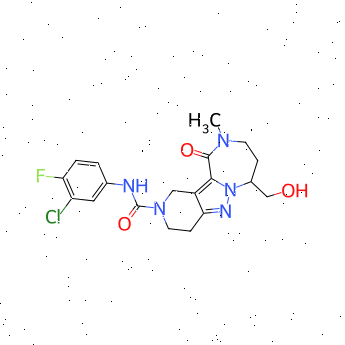 CN1CCC(CO)n2nc3c(c2C1=O)CN(C(=O)Nc1ccc(F)c(Cl)c1)CC3